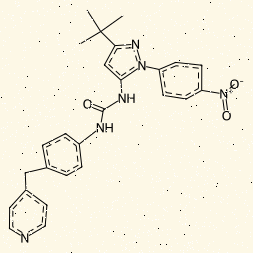 CC(C)(C)c1cc(NC(=O)Nc2ccc(Cc3ccncc3)cc2)n(-c2ccc([N+](=O)[O-])cc2)n1